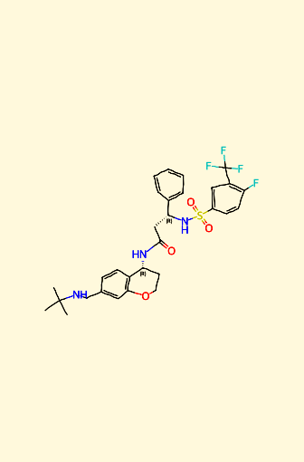 CC(C)(C)NCc1ccc2c(c1)OCC[C@H]2NC(=O)C[C@@H](NS(=O)(=O)c1ccc(F)c(C(F)(F)F)c1)c1ccccc1